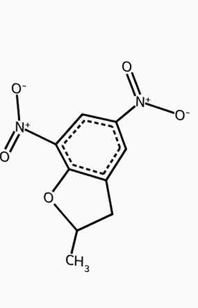 CC1Cc2cc([N+](=O)[O-])cc([N+](=O)[O-])c2O1